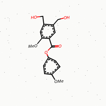 COc1ccc(OC(=O)c2cc(CO)c(CO)cc2OC)cc1